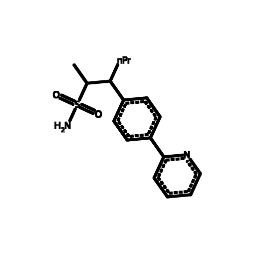 CCCC(c1ccc(-c2ccccn2)cc1)C(C)S(N)(=O)=O